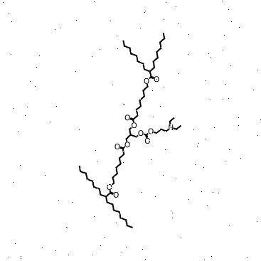 CCCCCCCCC(CCCCCCCC)C(=O)OCCCCCCCC(=O)OCC(COC(=O)CCCCCCCOC(=O)C(CCCCCCCC)CCCCCCCC)COC(=O)OCCCN(CC)CC